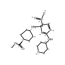 COC(=O)[C@H]1CC[C@H](Nc2nc(NC3CCOCC3)ncc2[N+](=O)[O-])CC1